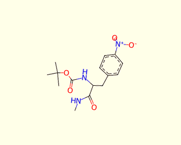 CNC(=O)C(Cc1ccc([N+](=O)[O-])cc1)NC(=O)OC(C)(C)C